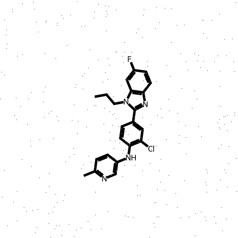 CCCn1c(-c2ccc(Nc3ccc(C)nc3)c(Cl)c2)nc2ccc(F)cc21